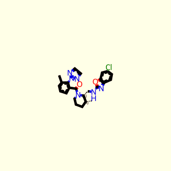 Cc1cccc(C(=O)N2CCC[C@@H](C)[C@H]2CNc2nc3ccc(Cl)cc3o2)c1-n1nccn1